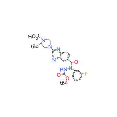 CC(C)(C)OC(=O)NN(C(=O)c1ccc2nc(N3CCN(C(=O)O)C(C(C)(C)C)C3)cnc2c1)c1cccc(F)c1